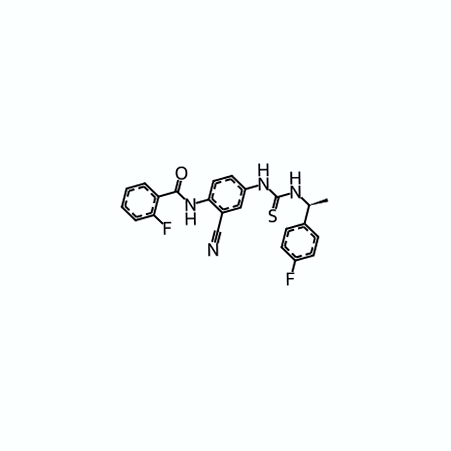 C[C@H](NC(=S)Nc1ccc(NC(=O)c2ccccc2F)c(C#N)c1)c1ccc(F)cc1